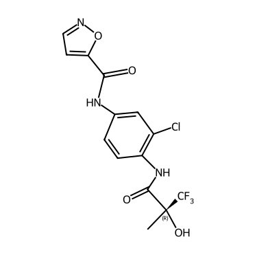 C[C@@](O)(C(=O)Nc1ccc(NC(=O)c2ccno2)cc1Cl)C(F)(F)F